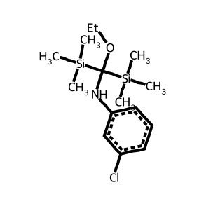 CCOC(Nc1cccc(Cl)c1)([Si](C)(C)C)[Si](C)(C)C